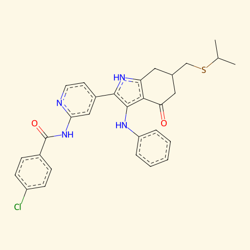 CC(C)SCC1CC(=O)c2c([nH]c(-c3ccnc(NC(=O)c4ccc(Cl)cc4)c3)c2Nc2ccccc2)C1